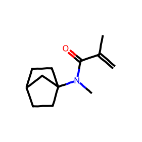 C=C(C)C(=O)N(C)C12CCC(CC1)C2